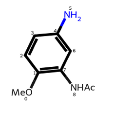 COc1ccc(N)cc1NC(C)=O